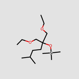 CCOCC(CCC(C)C)(COCC)O[Si](C)(C)C